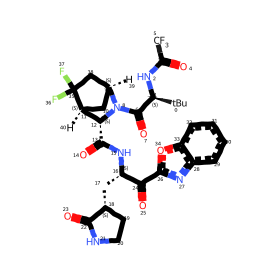 CC(C)(C)[C@H](NC(=O)C(F)(F)F)C(=O)N1[C@H]2C[C@@H]([C@H]1C(=O)N[C@@H](C[C@@H]1CCNC1=O)C(=O)c1nc3ccccc3o1)C(F)(F)C2